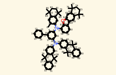 Cc1cc2c(cc1N(c1cc(-c3ccccc3)cc(N(c3ccc4c(c3)C(C)(C)c3ccccc3C4(C)C)c3ccc4c(c3)C(C)(C)c3ccccc3C4(C)C)c1)c1cccc3c1oc1cc4c(cc13)C(C)(C)CCC4(C)C)C(C)(C)CCC2(C)C